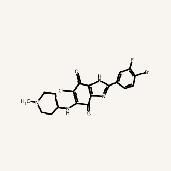 CN1CCC(NC2=C(Cl)C(=O)c3[nH]c(-c4ccc(Br)c(F)c4)nc3C2=O)CC1